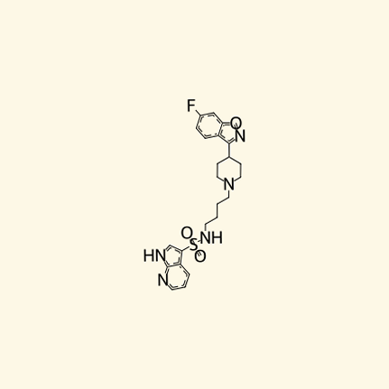 O=S(=O)(NCCCCN1CCC(c2noc3cc(F)ccc23)CC1)c1c[nH]c2ncccc12